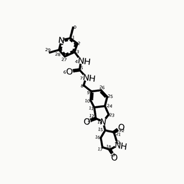 Cc1cc(NC(=O)NCC2=CC3C(=O)N(C4CCC(=O)NC4=O)CC3C=C2)cc(C)n1